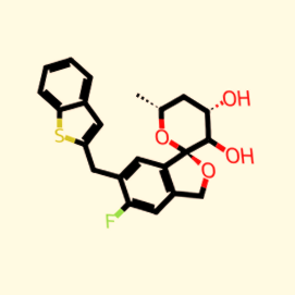 C[C@@H]1C[C@H](O)C(O)[C@@]2(OCc3cc(F)c(Cc4cc5ccccc5s4)cc32)O1